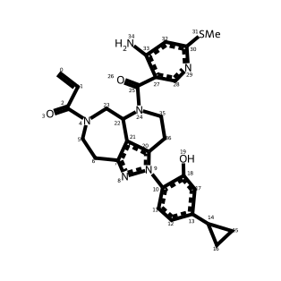 C=CC(=O)N1CCc2nn(-c3ccc(C4CC4)cc3O)c3c2C(C1)N(C(=O)c1cnc(SC)cc1N)CC3